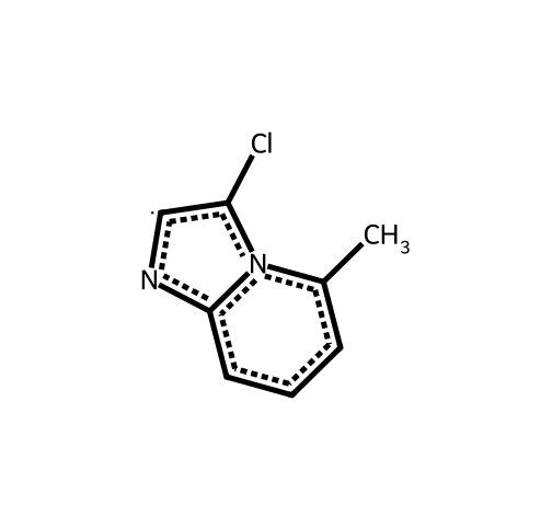 Cc1cccc2n[c]c(Cl)n12